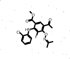 COC(=O)c1cc(C(C)=O)c(ON=C(C)C)c(F)c1Nc1ccccc1Cl